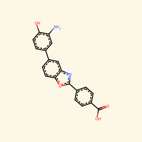 Nc1cc(-c2ccc3oc(-c4ccc(C(=O)O)cc4)nc3c2)ccc1O